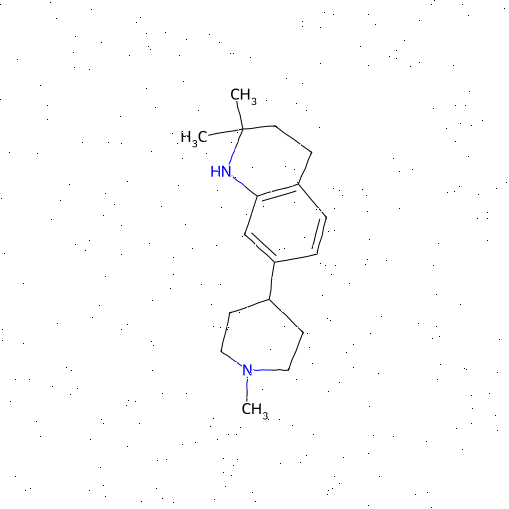 CN1CCC(c2ccc3c(c2)NC(C)(C)CC3)CC1